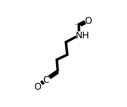 O=[C]NCCCC=C=O